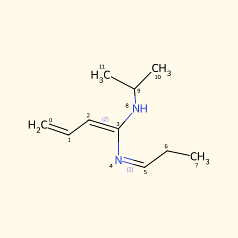 C=C/C=C(\N=C/CC)NC(C)C